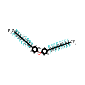 FC(F)(F)C(F)(F)C(F)(F)C(F)(F)C(F)(F)C(F)(F)C(F)(F)C(F)(F)C(F)(F)c1ccc(Oc2ccc(C(F)(F)C(F)(F)C(F)(F)C(F)(F)C(F)(F)C(F)(F)C(F)(F)C(F)(F)C(F)(F)F)cc2)cc1